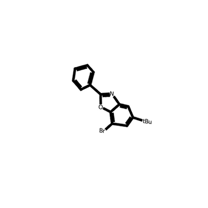 CC(C)(C)c1cc(Br)c2oc(-c3ccccc3)nc2c1